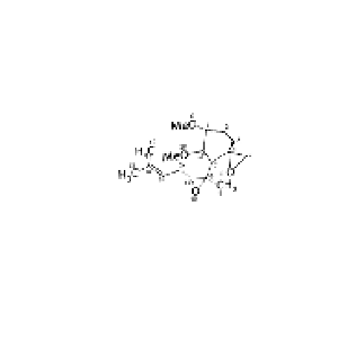 COC1CC[C@]2(CO2)C([C@@]2(C)O[C@@H]2CC=C(C)C)C1OC